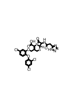 O=C(Cc1nnn[nH]1)NC1C(=O)N2C(C(=O)O)=C(COc3cc(Cl)ccc3Oc3ccc(Cl)cc3Cl)CS[C@@H]12